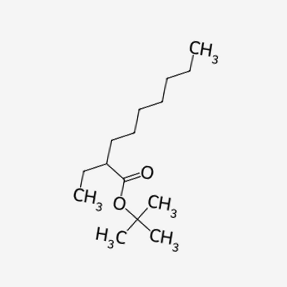 CCCCCCCC(CC)C(=O)OC(C)(C)C